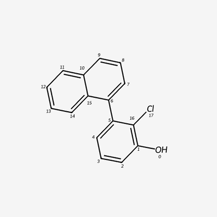 Oc1cccc(-c2cccc3ccccc23)c1Cl